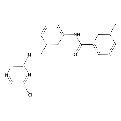 Cc1cncc(C(=O)Nc2cccc(CNc3cncc(Cl)n3)c2)c1